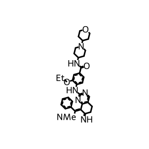 CCOc1cc(C(=O)NC2CCN(C3CCOCC3)CC2)ccc1Nc1ncc2c(n1)/C(=C(/NC)c1ccccc1)C(=N)CC2